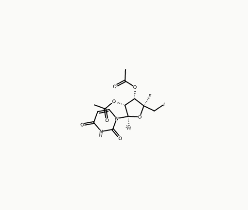 [2H][C@@]1(n2ccc(=O)[nH]c2=O)O[C@](F)(CI)[C@@H](OC(C)=O)[C@H]1OC(C)=O